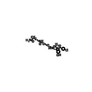 Cc1c(CC(=O)NCCOCCOCC(=O)NCCCC[C@H](C)C(N)=O)c2cc(O)ccc2n1C(=O)c1ccc(Cl)cc1